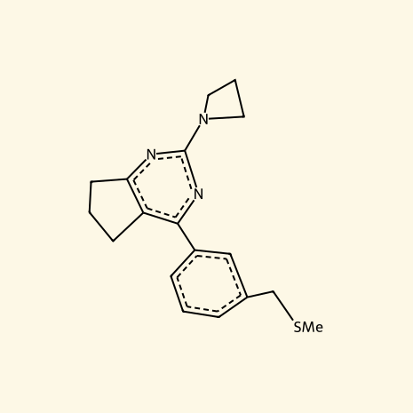 CSCc1cccc(-c2nc(N3CCC3)nc3c2CCC3)c1